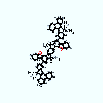 CC1(C)c2cc3c(cc2-c2c1cc(-c1ccc4c(c1)-c1c(c5ccccc5c5ccccc15)C4(C)C)c1c2oc2ccccc21)C(C)(C)c1cc(-c2ccc4c(c2)-c2c(c5ccccc5c5ccccc25)C4(C)C)c2c(oc4ccccc42)c1-3